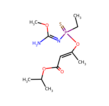 CCP(=S)(N=C(N)OC)OC(C)=CC(=O)OC(C)C